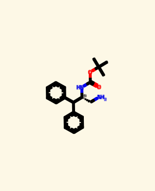 CC(C)(C)OC(=O)N[C@H](CN)C(c1ccccc1)c1ccccc1